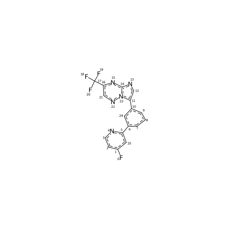 Fc1ccnc(-c2cccc(-c3cnc4nc(C(F)(F)F)cnn34)c2)c1